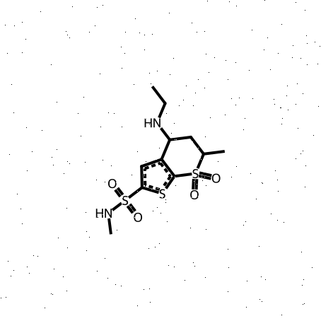 CCNC1CC(C)S(=O)(=O)c2sc(S(=O)(=O)NC)cc21